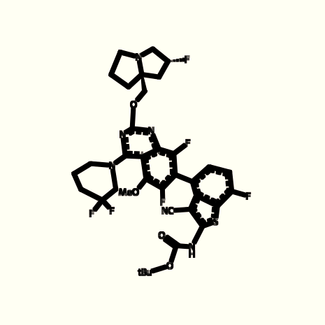 COc1c(F)c(-c2ccc(F)c3sc(NC(=O)OC(C)(C)C)c(C#N)c23)c(F)c2nc(OC[C@@]34CCCN3C[C@H](F)C4)nc(N3CCCC(F)(F)C3)c12